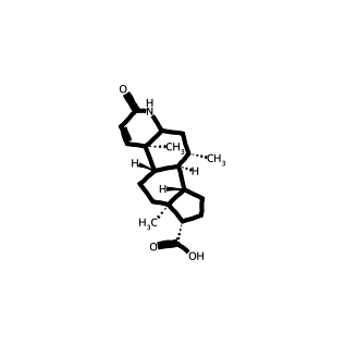 C[C@H]1CC2NC(=O)C=C[C@]2(C)[C@H]2CC[C@]3(C)[C@@H](C(=O)O)CC[C@H]3[C@H]12